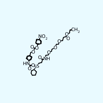 C=CCOC(=O)CCOCCOCCOCCNC(=O)CCSS[C@H]1CCCC[C@@H]1OC(=O)Nc1ccc(COC(=O)Oc2ccc([N+](=O)[O-])cc2)cc1